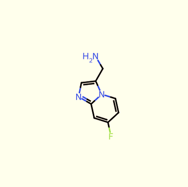 NCc1cnc2cc(F)ccn12